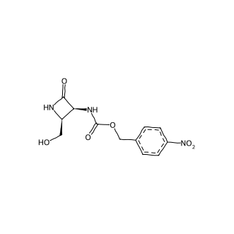 O=C(N[C@@H]1C(=O)N[C@@H]1CO)OCc1ccc([N+](=O)[O-])cc1